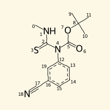 CNC(=S)N(C(=O)OC(C)(C)C)c1cccc(C#N)c1